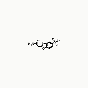 CCS(=O)(=O)c1ccc2oc(CC(N)=O)nc2c1